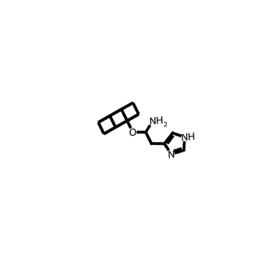 NC(Cc1c[nH]cn1)OC12C3C4C5C3C1C5C42